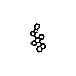 c1ccc2c(-c3c4ccccc4c(-c4cccc5c4sc4ccccc45)c4cnccc34)cccc2c1